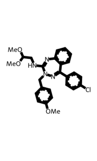 COc1ccc(CN2N=C(c3ccc(Cl)cc3)c3ccccc3N=C2NCC(OC)OC)cc1